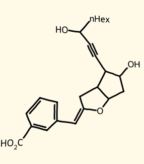 CCCCCCC(O)C#CC1C(O)CC2O/C(=C/c3cccc(C(=O)O)c3)CC21